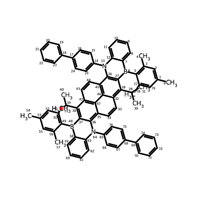 Cc1cc(C)c(B2c3ccccc3N(c3ccc(-c4ccccc4)cc3)c3c2c(C(C)C)c2ccc4c5c(c(C(C)C)c6ccc3c2c64)B(c2c(C)cc(C)cc2C)c2ccccc2N5c2ccc(-c3ccccc3)cc2)c(C)c1